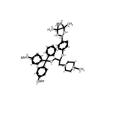 COc1ccc(C(OCC(CN2CCN(C)CC2)Oc2ccc(B3OC(C)(C)C(C)(C)O3)cc2)(c2ccccc2)c2ccc(OC)cc2)cc1